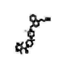 Cc1ncnc(C)c1C(=O)N1CCC(C)(N2CCN(Cc3ccc(CCO)c4ccccc34)[C@@H](C)C2)CC1